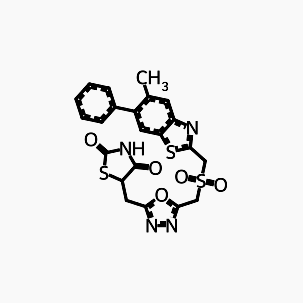 Cc1cc2nc(CS(=O)(=O)Cc3nnc(CC4SC(=O)NC4=O)o3)sc2cc1-c1ccccc1